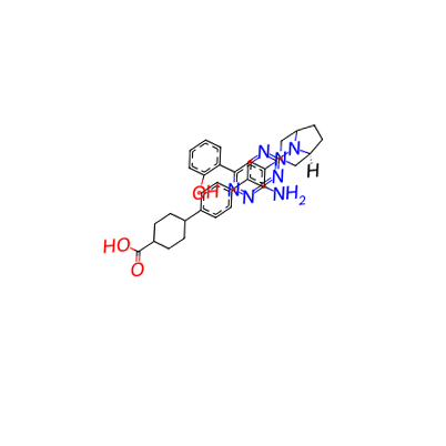 Nc1nnc(-c2ccccc2O)cc1N1CC2CC[C@@H](C1)N2c1ncc(-c2ccc(C3CCC(C(=O)O)CC3)cc2)cn1